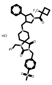 CC(C)CN1C(=O)N(Cc2ccc(S(C)(=O)=O)cc2)C(=O)C12CCN(CC1CN(C(=O)C3(C(F)(F)F)CCC3)CC1c1ccccc1)CC2.Cl